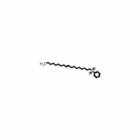 CCCCCCCCC=CCCCCCCCCS(=O)(=O)c1ccccc1